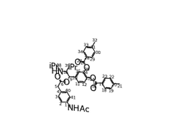 CC(=O)Nc1ccc(CC(=O)OC(c2ccc(OC(=O)c3ccc(C)cc3)c(OC(=O)c3ccc(C)cc3)c2)C(NC(C)C)C(C)C)cc1